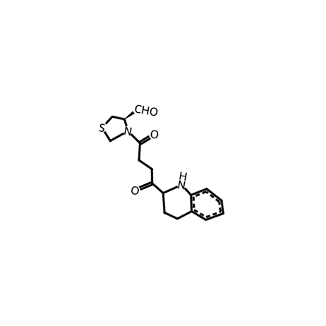 O=C[C@@H]1CSCN1C(=O)CCC(=O)C1CCc2ccccc2N1